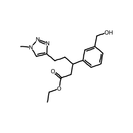 CCOC(=O)CC(CCc1cn(C)nn1)c1cccc(CO)c1